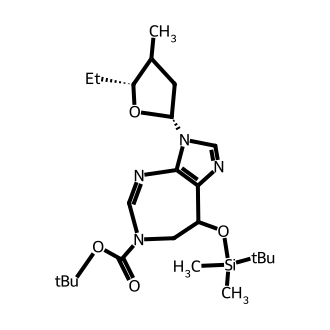 CC[C@H]1O[C@@H](n2cnc3c2N=CN(C(=O)OC(C)(C)C)CC3O[Si](C)(C)C(C)(C)C)CC1C